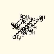 CC(=O)OC(=O)CC(O)(CC(=O)O)C(=O)O.CCCCCCCCC=CCCCCCCCC(=O)O.O=C(O)CCCCC(=O)O.O=C(O)CCCCCCC(=O)O.O=C(O)CCCCCCCC(=O)O